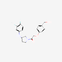 O=C(COc1ccc(CO)cc1)N1CCC(Nc2ccc(F)c(F)c2)C1